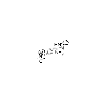 CC(C)(C)N1C(=O)CC(c2ccc(C[C@H](N)c3nc4ccccc4[nH]3)cc2)S1(=O)=O